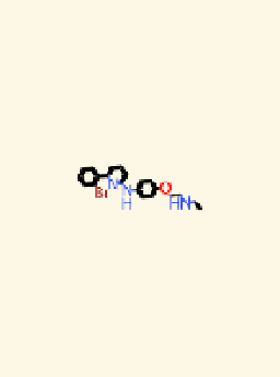 CCNCCOc1ccc(Nc2cccc(-c3ccccc3Br)n2)cc1